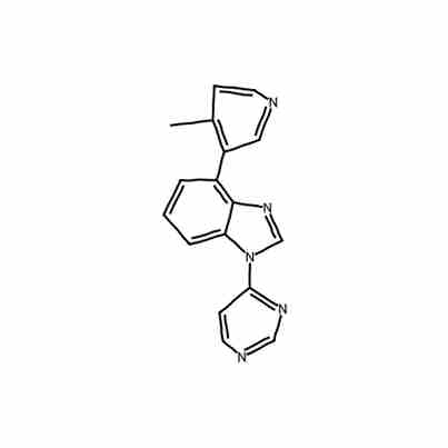 Cc1ccncc1-c1cccc2c1ncn2-c1ccncn1